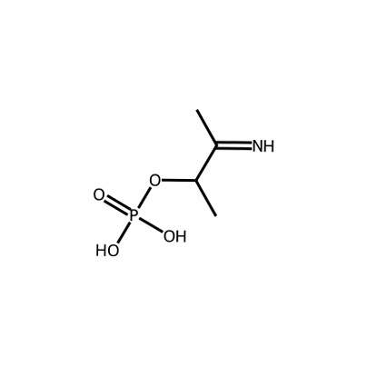 CC(=N)C(C)OP(=O)(O)O